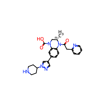 C[C@H]1CN(C(=O)O)c2cc(-c3cnn(C4CCNCC4)c3)ccc2N1C(=O)Cc1ccccn1